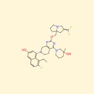 CCc1c(F)ccc2cc(O)cc(N3CCc4c(nc(OCC56CCCN5CC(=C(F)F)C6)nc4N4CCCC(C)(O)C4)C3)c12